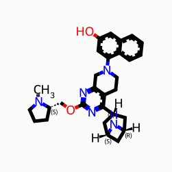 CN1CCC[C@H]1COc1nc2c(c([C@H]3C[C@H]4C[C@@H](C3)N4)n1)CCN(c1cc(O)cc3ccccc13)C2